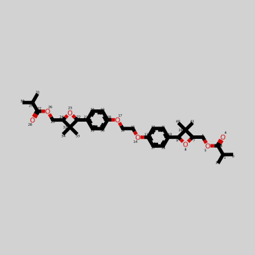 CC(C)C(=O)OCC1OC(c2ccc(OCCOc3ccc(C4OC(COC(=O)C(C)C)C4(C)C)cc3)cc2)C1(C)C